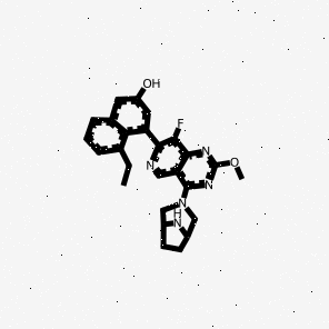 CCc1cccc2cc(O)cc(-c3ncc4c(N5CC6CCC(C5)N6)nc(OC)nc4c3F)c12